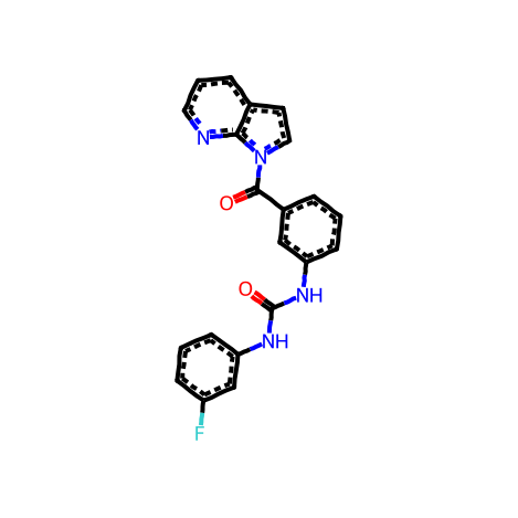 O=C(Nc1cccc(F)c1)Nc1cccc(C(=O)n2ccc3cccnc32)c1